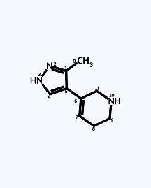 Cc1n[nH]cc1C1=CCCNC1